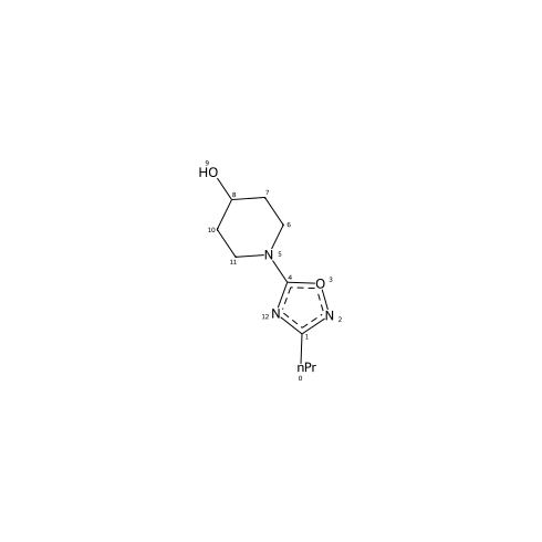 CCCc1noc(N2CCC(O)CC2)n1